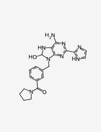 Nc1nc(-c2ncc[nH]2)nc2c1NC(O)N2Cc1cccc(C(=O)N2CCCC2)c1